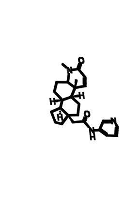 CN1C(=O)C=C[C@@]2(C)C1CC[C@@H]1[C@H]2CC[C@]2(CC(=O)Nc3cccnc3)CCC[C@@H]12